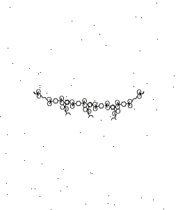 C=CC(=O)OCCCCOC(=O)C1CCC(C(=O)Oc2ccc(OC(=O)C3CCC(C(=O)Oc4ccc(OC(=O)C5CCC(C(=O)Oc6ccc(OC(=O)C7CCC(C(=O)OCCCCOC(=O)C=C)CC7)c(C(=O)OCC(C)CC)c6)CC5)c(C(=O)OCC(C)CC)c4)CC3)cc2C(=O)OCC(C)CC)CC1